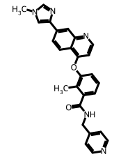 Cc1c(Oc2ccnc3cc(-c4cn(C)cn4)ccc23)cccc1C(=O)NCc1ccncc1